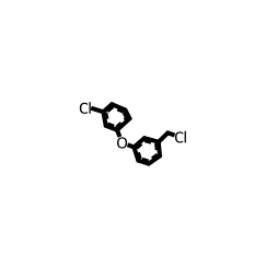 ClCc1cccc(Oc2cccc(Cl)c2)c1